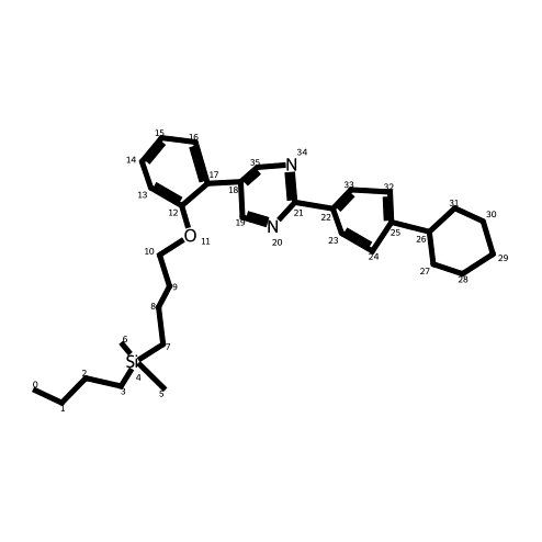 CCCC[Si](C)(C)CCCCOc1ccccc1-c1cnc(-c2ccc(C3CCCCC3)cc2)nc1